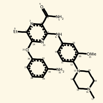 CCc1nc(C(N)=O)c(Nc2ccc(N3CCN(C)CC3)c(OC)c2)nc1Oc1cccc(N)c1